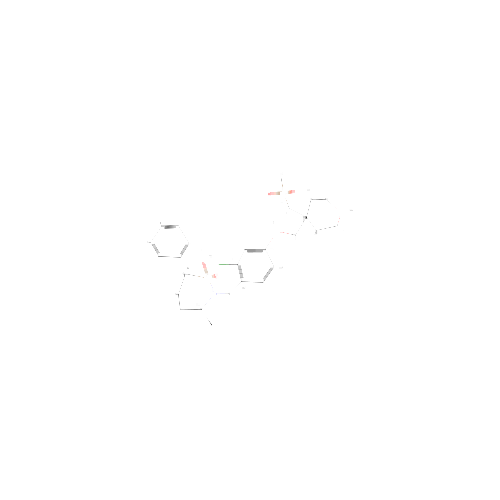 C[C@H]1CC[C@H](c2ccccc2)S(=O)(=O)N1Cc1ccc(OCC2(CS(C)(=O)=O)CCOCC2)cc1F